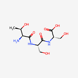 C[C@@H](O)[C@H](N)C(=O)N[C@@H](CO)C(=O)N[C@@H](CO)C(=O)O